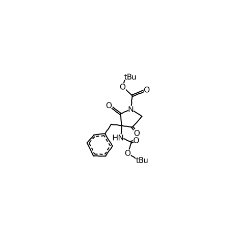 CC(C)(C)OC(=O)NC1(Cc2ccccc2)C(=O)CN(C(=O)OC(C)(C)C)C1=O